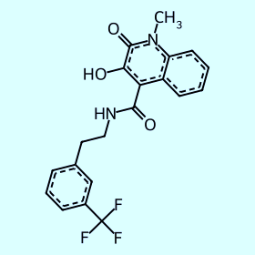 Cn1c(=O)c(O)c(C(=O)NCCc2cccc(C(F)(F)F)c2)c2ccccc21